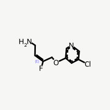 NC/C=C(/F)COc1cncc(Cl)c1